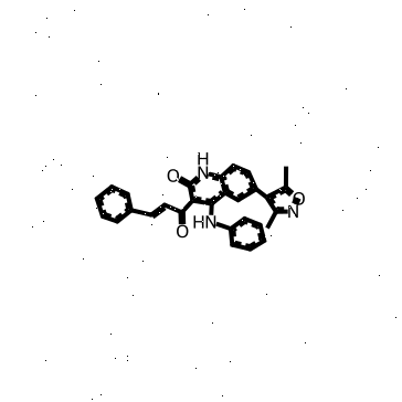 Cc1noc(C)c1-c1ccc2[nH]c(=O)c(C(=O)/C=C/c3ccccc3)c(Nc3ccccc3)c2c1